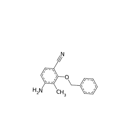 Cc1c(N)ccc(C#N)c1OCc1ccccc1